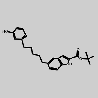 CC(C)(C)OC(=O)c1cc2cc(CCCCCc3cccc(O)c3)ccc2[nH]1